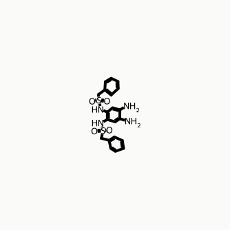 Nc1cc(NS(=O)(=O)Cc2ccccc2)c(NS(=O)(=O)Cc2ccccc2)cc1N